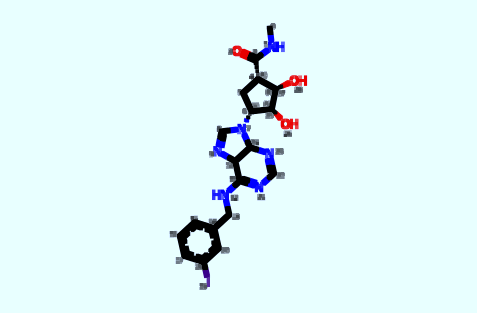 CNC(=O)[C@H]1C[C@@H](N2C=NC3C(NCc4cccc(I)c4)=NC=NC32)[C@H](O)[C@@H]1O